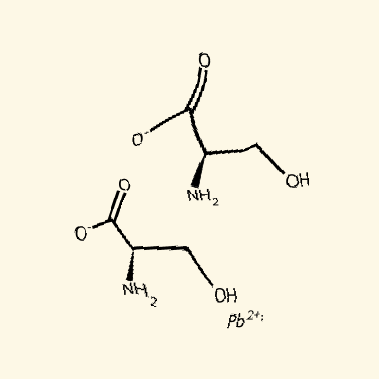 N[C@H](CO)C(=O)[O-].N[C@H](CO)C(=O)[O-].[Pb+2]